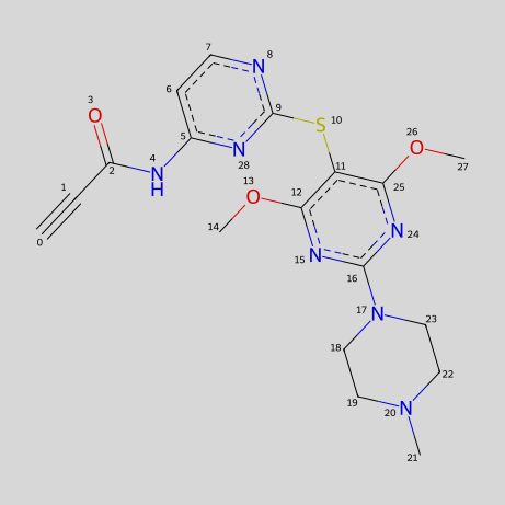 C#CC(=O)Nc1ccnc(Sc2c(OC)nc(N3CCN(C)CC3)nc2OC)n1